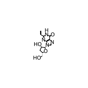 C=Cc1nc2c(ncn2[C@@H]2O[C@H](CO)C[C@H]2O)c(=O)[nH]1